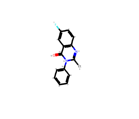 CCc1nc2ccc(F)cc2c(=O)n1-c1ccccc1